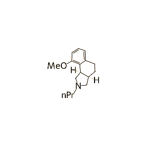 CCCN1C[C@@H]2CCc3cccc(OC)c3[C@@H]2C1